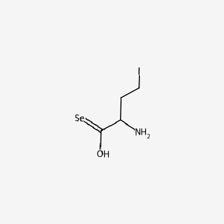 CCCC(N)C(O)=[Se]